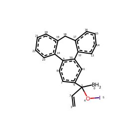 BC(C=C)(OI)c1ccc2c(c1)-c1ccccc1Cc1ccccc1-2